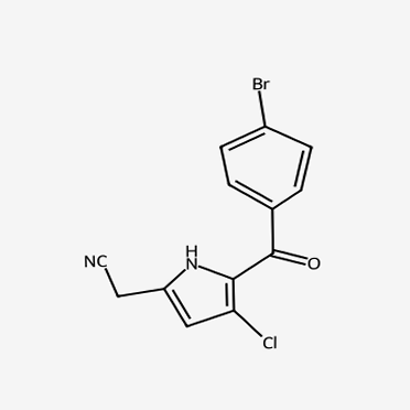 N#CCc1cc(Cl)c(C(=O)c2ccc(Br)cc2)[nH]1